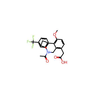 COc1ccc(CC(=O)O)c(CN(C(C)=O)C2CCC2)c1-c1ccc(C(F)(F)F)cc1